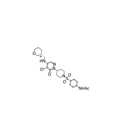 CC(=O)Nc1ccc(S(=O)(=O)N2CCC(n3ncc(NC[C@H]4CCCOC4)c(Cl)c3=O)CC2)cc1